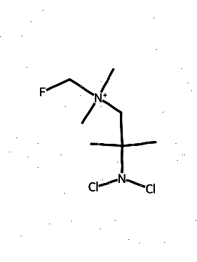 CC(C)(C[N+](C)(C)CF)N(Cl)Cl